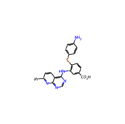 CC(C)c1ccc2c(Nc3cc(C(=O)O)ccc3Sc3ccc(N)cc3)ncnc2n1